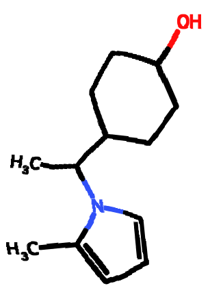 Cc1cccn1C(C)C1CCC(O)CC1